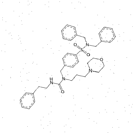 O=C(NCCc1ccccc1)N(CCCN1CCOCC1)Cc1ccc(S(=O)(=O)N(Cc2ccccc2)Cc2ccccc2)cc1